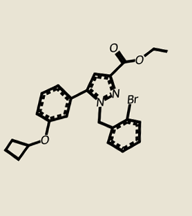 CCOC(=O)c1cc(-c2cccc(OC3CCC3)c2)n(Cc2ccccc2Br)n1